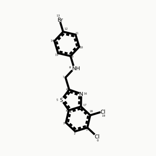 Clc1ccc2sc(CNc3ccc(Br)cc3)nc2c1Cl